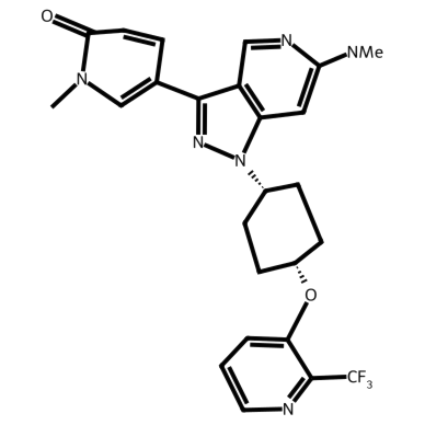 CNc1cc2c(cn1)c(-c1ccc(=O)n(C)c1)nn2[C@H]1CC[C@@H](Oc2cccnc2C(F)(F)F)CC1